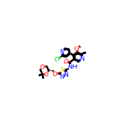 COc1c(C)ncc(C(=O)Nc2nnc(OC[C@H]3COCC(C)(C)O3)s2)c1-c1ccnc(Cl)c1